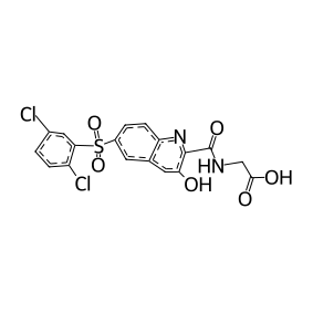 O=C(O)CNC(=O)c1nc2ccc(S(=O)(=O)c3cc(Cl)ccc3Cl)cc2cc1O